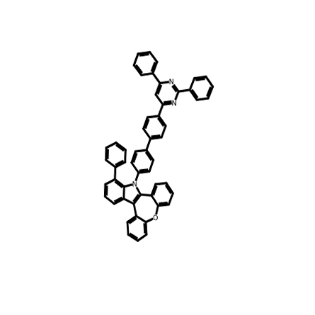 c1ccc(-c2cc(-c3ccc(-c4ccc(-n5c6c(c7cccc(-c8ccccc8)c75)-c5ccccc5Oc5ccccc5-6)cc4)cc3)nc(-c3ccccc3)n2)cc1